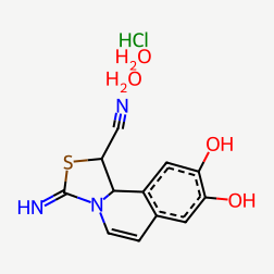 Cl.N#CC1SC(=N)N2C=Cc3cc(O)c(O)cc3C12.O.O